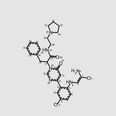 N/C(Cl)=C\Nc1ccc(Cl)cc1-c1cc(=O)n(C(Cc2ccccc2)C(=O)NCCN2CCCC2)cn1